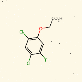 O=C(O)COc1cc(F)c(Cl)cc1Cl